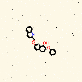 O[C@@H]1c2cc(OCc3ccc4ccccc4n3)ccc2CC[C@H]1Oc1ccccc1